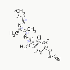 CC\C=C/N=C(C)\C(C)=N\C=C(/C)C1=C(Cl)C(F)C(CCC#N)C=C1